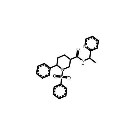 CC(NC(=O)C1CCC(c2ccccc2)N(S(=O)(=O)c2ccccc2)C1)c1ccccn1